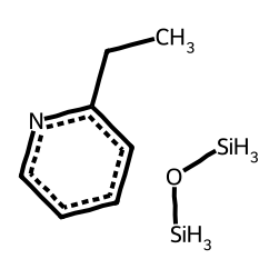 CCc1ccccn1.[SiH3]O[SiH3]